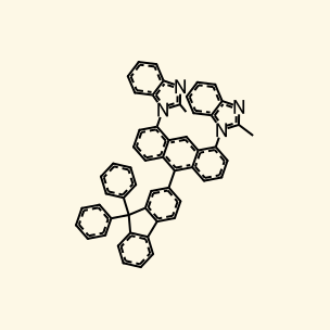 Cc1nc2ccccc2n1-c1cccc2c(-c3ccc4c(c3)C(c3ccccc3)(c3ccccc3)c3ccccc3-4)c3cccc(-n4c(C)nc5ccccc54)c3cc12